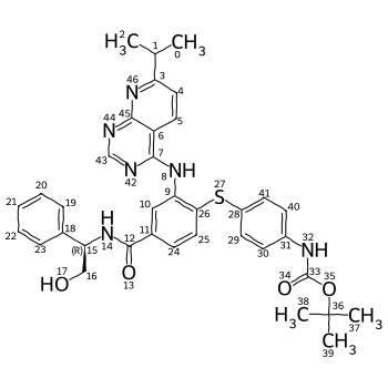 CC(C)c1ccc2c(Nc3cc(C(=O)N[C@@H](CO)c4ccccc4)ccc3Sc3ccc(NC(=O)OC(C)(C)C)cc3)ncnc2n1